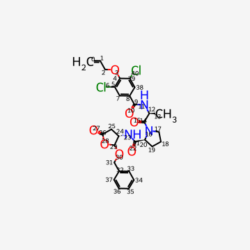 C=CCOc1c(Cl)cc(C(=O)N[C@@H](C)C(=O)N2CCC[C@H]2C(=O)N[C@H]2CC(=O)OC2OCc2ccccc2)cc1Cl